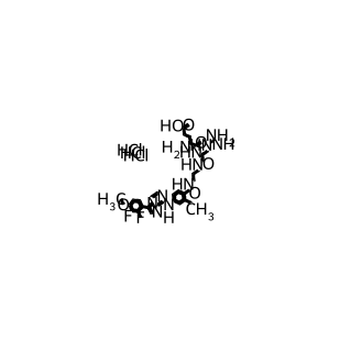 CCc1cc(Nc2nccn3c(-c4ccc(OC)c(F)c4F)cnc23)ccc1C(=O)NCCCNC(=O)C(CNC(=N)N)NC(=O)[C@@H](N)CCC(=O)O.Cl.Cl.Cl